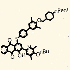 CCCCCC1CCC(COc2c(C)cc(-c3ccc(Sc4cc(-c5cc(C)c(OCCCC)c(C)n5)c(O)c5c4C(=O)c4ccccc4C5=O)cc3)cc2C)CC1